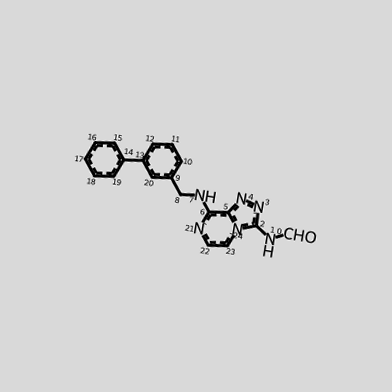 O=CNc1nnc2c(NCc3cccc(-c4ccccc4)c3)nccn12